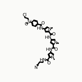 Cn1cc(NC(=O)c2cc(NC(=O)c3cc(NC(=O)c4ccc([S+]([O-])CCCl)cc4)cn3C)cn2C)cc1C(=O)NCCC#N